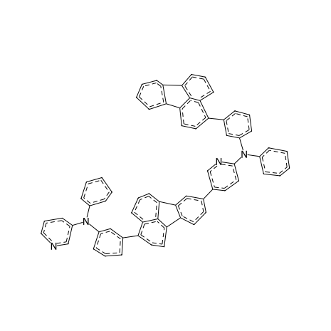 c1ccc(N(c2cccnc2)c2cccc(-c3ccc4c5c(cccc35)-c3cc(-c5ccc(N(c6ccccc6)c6cccc(-c7ccc8c9c(cccc79)-c7ccccc7-8)c6)nc5)ccc3-4)c2)cc1